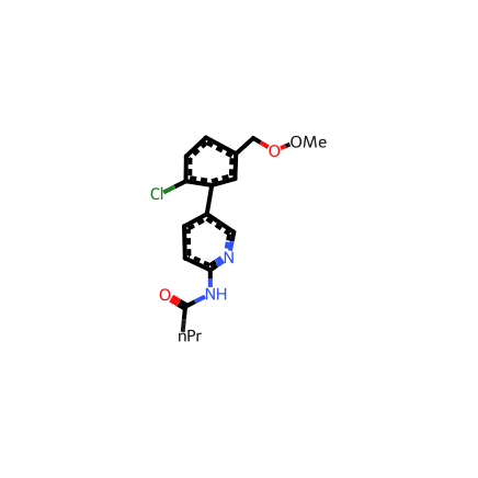 CCCC(=O)Nc1ccc(-c2cc(COOC)ccc2Cl)cn1